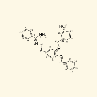 Cl.N/C(=N\CCc1ccc(OCc2ccccc2)c(OCc2ccccc2)c1)c1cccnc1